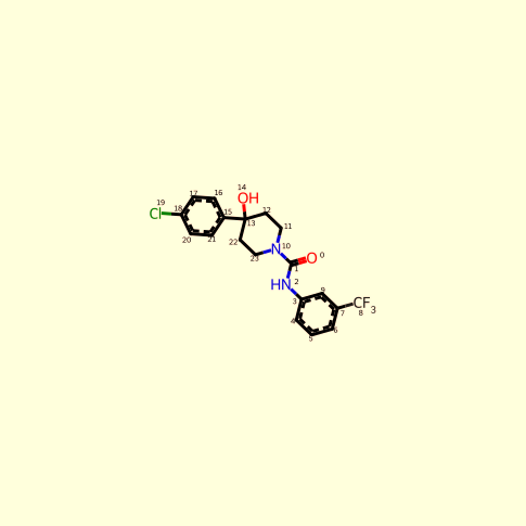 O=C(Nc1cccc(C(F)(F)F)c1)N1CCC(O)(c2ccc(Cl)cc2)CC1